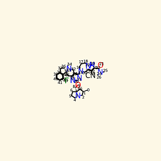 C[C@H]1CN2CCC[C@@]2(COc2nc3c(c(N4CCCn5nc(C(=O)N(C)C)c(C#N)c5C4)n2)CN(C)[C@@]2(CCc4cccc(F)c42)C3)C1